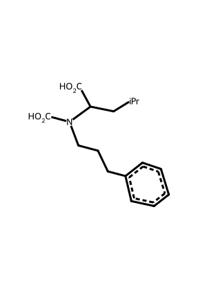 CC(C)CC(C(=O)O)N(CCCc1ccccc1)C(=O)O